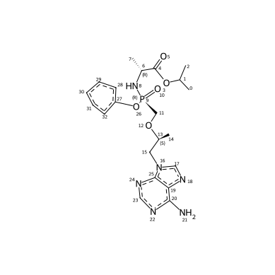 CC(C)OC(=O)[C@@H](C)N[P@@](=O)(CO[C@@H](C)Cn1cnc2c(N)ncnc21)Oc1ccccc1